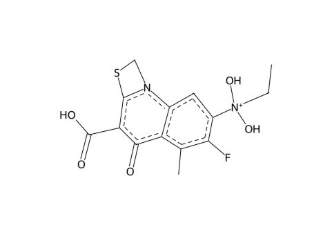 CC[N+](O)(O)c1cc2c(c(C)c1F)c(=O)c(C(=O)O)c1n2CS1